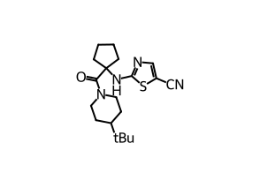 CC(C)(C)C1CCN(C(=O)C2(Nc3ncc(C#N)s3)CCCC2)CC1